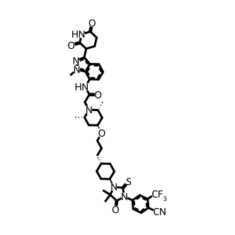 C[C@@H]1C[C@H](OCCC[C@H]2CC[C@H](N3C(=S)N(c4ccc(C#N)c(C(F)(F)F)c4)C(=O)C3(C)C)CC2)C[C@H](C)N1CC(=O)Nc1cccc2c(C3CCC(=O)NC3=O)nn(C)c12